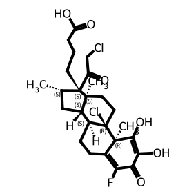 C[C@H]1C[C@H]2[C@@H]3CCC4=C(F)C(=O)C(O)=C(O)[C@]4(C)[C@@]3(Cl)CC[C@]2(C)[C@@]1(CCCC(=O)O)C(=O)CCl